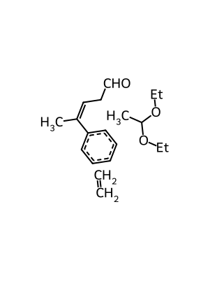 C/C(=C/CC=O)c1ccccc1.C=C.CCOC(C)OCC